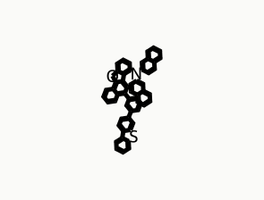 c1cc(-c2ccc3c(c2)sc2ccccc23)cc(-c2cc3c(oc4cccc(N(c5ccc6ccccc6c5)c5ccc6ccccc6c5)c43)c3ccccc23)c1